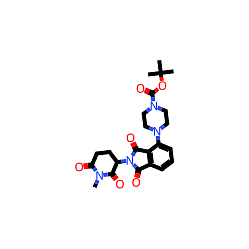 CN1C(=O)CCC(N2C(=O)c3cccc(N4CCN(C(=O)OC(C)(C)C)CC4)c3C2=O)C1=O